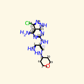 N=C/C(=C\NC1CCOCC1)Nc1nc(N)c2c(Cl)n[nH]c2n1